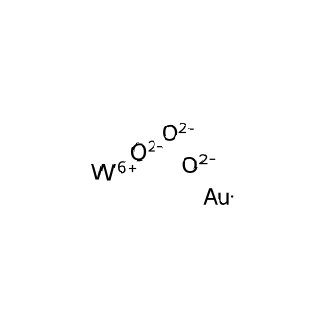 [Au].[O-2].[O-2].[O-2].[W+6]